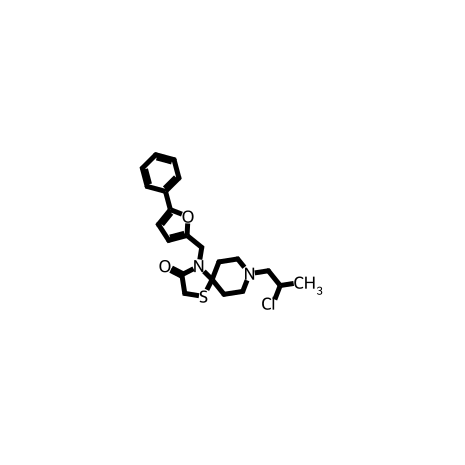 CC(Cl)CN1CCC2(CC1)SCC(=O)N2Cc1ccc(-c2ccccc2)o1